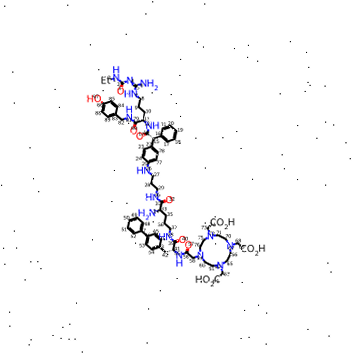 CCNC(=O)/N=C(/N)NCCC[C@@H](NC(=O)[C@H](c1ccccc1)c1ccc(NCCCNC(=O)[C@H](N)CCCNC(=O)[C@@H](Cc2ccc(-c3ccccc3)cc2)NC(=O)CN2CCN(CC(=O)O)CCN(CC(=O)O)CCN(CC(=O)O)CC2)cc1)C(=O)NCc1ccc(O)cc1